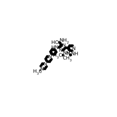 CC(C)Nc1nc(Nc2ccc(N3CCC(N4CCN(C)CC4)CC3)cc2)c(C(N)O)nc1-c1ccnc2[nH]cnc12